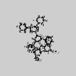 CC(C)(C)c1cc2c(c(C(C)(C)C)c1)C(c1c(-c3ccccc3)cc(-c3nc(-c4ccccc4)nc(-c4ccccc4)n3)cc1-c1ccccc1)c1c-2cc(C(C)(C)C)cc1C(C)(C)C